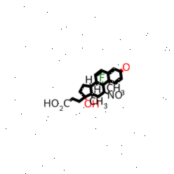 C[C@]12C=CC(=O)C=C1C=C[C@H]1[C@@H]3CC[C@@](O)(CCC(=O)O)[C@@]3(C)C[C@H](N=O)[C@@]12F